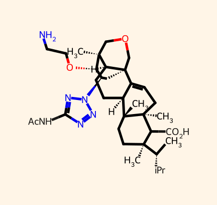 CC(=O)Nc1nnn([C@@H]2C[C@@]34COC[C@@](C)([C@@H]3CC[C@H]3C4=CC[C@@]4(C)C(C(=O)O)[C@@](C)([C@H](C)C(C)C)CC[C@]34C)[C@H]2OCCN)n1